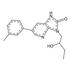 CCC(O)Cn1c(=O)[nH]c2cc(-c3cccc(C)c3)cnc21